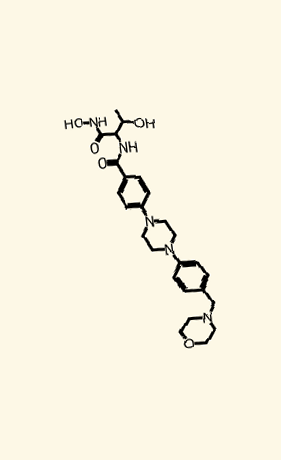 CC(O)C(NC(=O)c1ccc(N2CCN(c3ccc(CN4CCOCC4)cc3)CC2)cc1)C(=O)NO